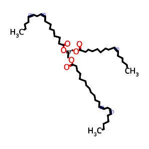 CCCC/C=C\C/C=C\CCCCCCCC(=O)O[C@H](COC(=O)CCCCCCC/C=C\CCCCC)COC(=O)CCCCCCCCCCC/C=C\C/C=C\CCCCC